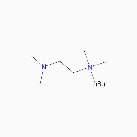 CCCC[N+](C)(C)CCN(C)C